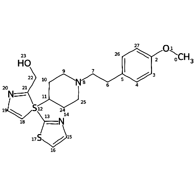 COc1ccc(CCN2CCC(S3(c4nccs4)C=CN=C3CO)CC2)cc1